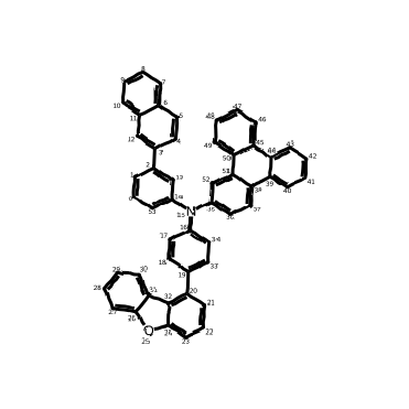 c1cc(-c2ccc3ccccc3c2)cc(N(c2ccc(-c3cccc4oc5ccccc5c34)cc2)c2ccc3c4ccccc4c4ccccc4c3c2)c1